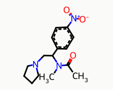 CC(=O)N(C)C(CN1CCCC1)c1ccc([N+](=O)[O-])cc1